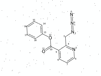 [N-]=[N+]=NCc1ncccc1C(=O)Oc1ccccc1